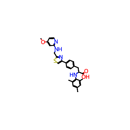 COc1ccnc(NCc2nc(-c3ccc(CC(Nc4c(C)cc(C)cc4C)C(=O)O)cc3)cs2)c1